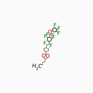 C=CCCC1COC(C2CCC(C(F)C(F)c3cc(F)c(C(F)(F)Oc4cc(F)c(F)c(F)c4)c(F)c3)CC2)OC1